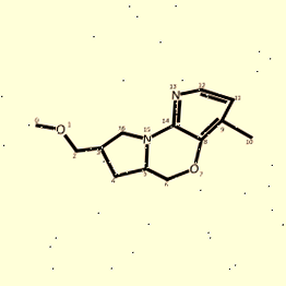 COCC1CC2COc3c(C)ccnc3N2C1